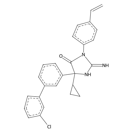 C=Cc1ccc(N2C(=N)NC(c3cccc(-c4cccc(Cl)c4)c3)(C3CC3)C2=O)cc1